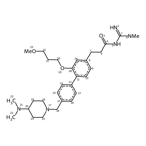 CNC(=N)NC(=O)CCc1ccc(-c2ccc(CN3CCC(N(C)C)CC3)cc2)c(OCCCOC)c1